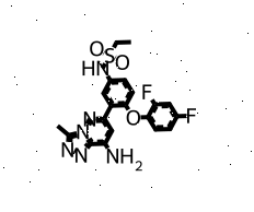 CCS(=O)(=O)Nc1ccc(Oc2ccc(F)cc2F)c(-c2cc(N)c3nnc(C)n3n2)c1